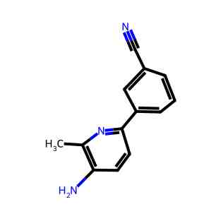 Cc1nc(-c2cccc(C#N)c2)ccc1N